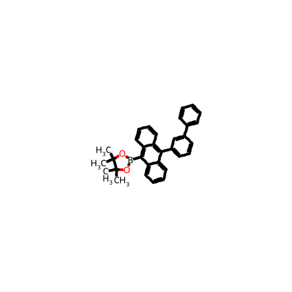 CC1(C)OB(c2c3ccccc3c(-c3cccc(-c4ccccc4)c3)c3ccccc23)OC1(C)C